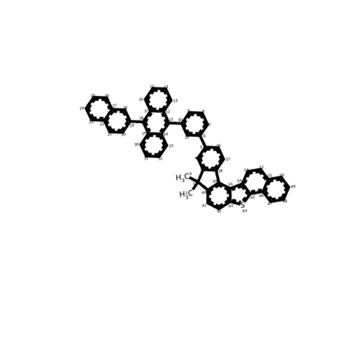 CC1(C)c2cc(-c3cccc(-c4c5ccccc5c(-c5ccc6ccccc6c5)c5ccccc45)c3)ccc2-c2c1ccc1sc3c4ccccc4ccc3c21